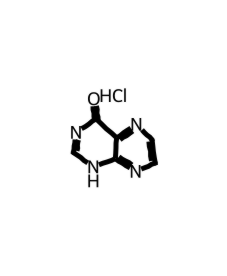 Cl.O=c1nc[nH]c2nccnc12